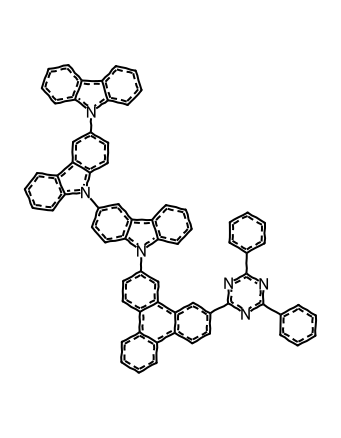 c1ccc(-c2nc(-c3ccccc3)nc(-c3ccc4c5ccccc5c5ccc(-n6c7ccccc7c7cc(-n8c9ccccc9c9cc(-n%10c%11ccccc%11c%11ccccc%11%10)ccc98)ccc76)cc5c4c3)n2)cc1